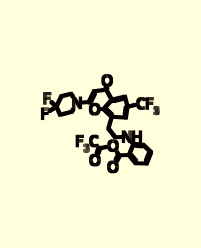 O=C(OC(=O)C(F)(F)F)c1ccccc1NCCc1cc(C(F)(F)F)cc2c(=O)cc(N3CCC(F)(F)CC3)oc12